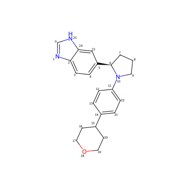 c1nc2ccc([C@H]3CCCN3c3ccc(C4CCOCC4)cc3)cc2[nH]1